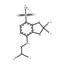 O=S(=O)(c1ccc(OCC(F)F)c2c1CC(F)(F)C2)C(F)(F)F